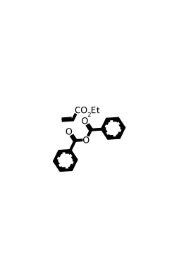 C=CC(=O)OCC.O=C(OC(=O)c1ccccc1)c1ccccc1